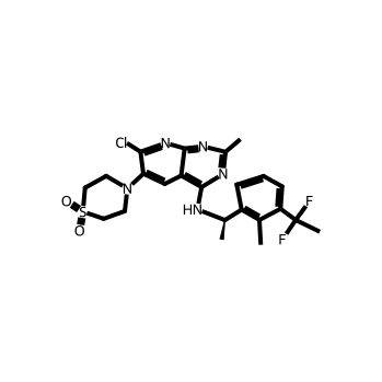 Cc1nc(N[C@H](C)c2cccc(C(C)(F)F)c2C)c2cc(N3CCS(=O)(=O)CC3)c(Cl)nc2n1